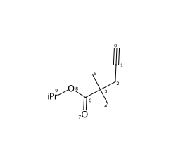 C#CCC(C)(C)C(=O)OC(C)C